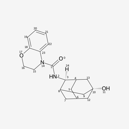 O=C(N[C@H]1C2CC3CC1C[C@](O)(C3)C2)N1CCOc2ccccc21